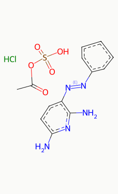 CC(=O)OS(=O)(=O)O.Cl.Nc1ccc(/N=N/c2ccccc2)c(N)n1